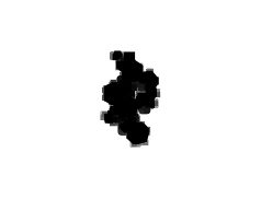 CNCc1ccc(-c2ccc(Cc3coc(-c4ccc(CNC)c(NS(=O)(=O)c5ccccc5)c4)c3)o2)c(NS(=O)(=O)c2ccccc2)c1